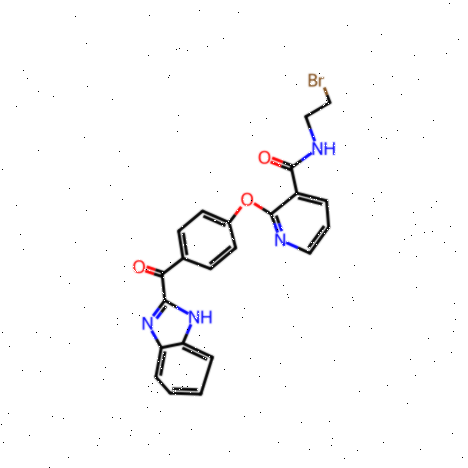 O=C(c1ccc(Oc2ncccc2C(=O)NCCBr)cc1)c1nc2ccccc2[nH]1